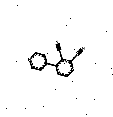 N#Cc1cccc(-c2ccncc2)c1C#N